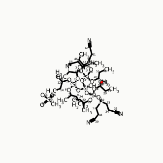 CCC(C)O[Si](OC(C)CC)(OC(C)CC)O[Si](C)(O[Si](OC(C)CC)(OC(C)CC)OP(CCC#N)CCC#N)O[Si](OC(C)CC)(OC(C)CC)O[P+](C)(CCC#N)CCC#N.CS(=O)(=O)[O-]